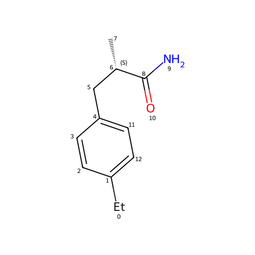 CCc1ccc(C[C@H](C)C(N)=O)cc1